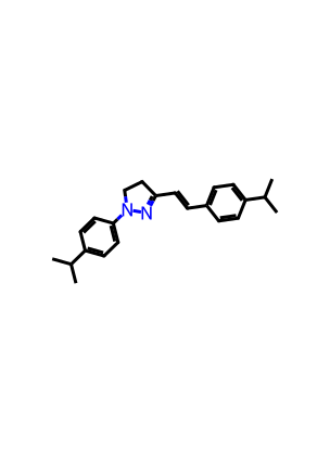 CC(C)c1ccc(C=CC2=NN(c3ccc(C(C)C)cc3)CC2)cc1